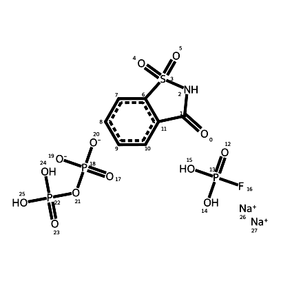 O=C1NS(=O)(=O)c2ccccc21.O=P(O)(O)F.O=P([O-])([O-])OP(=O)(O)O.[Na+].[Na+]